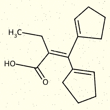 CCC(C(=O)O)=C(C1=CCCC1)C1=CCCC1